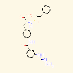 NN=CNc1cccc(C(=O)Nc2ccc(CC(NS(=O)(=O)C=Cc3ccccc3)C(=O)O)cc2)c1